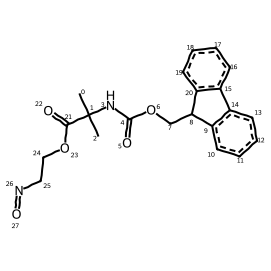 CC(C)(NC(=O)OCC1c2ccccc2-c2ccccc21)C(=O)OCCN=O